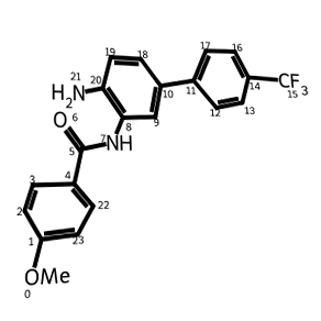 COc1ccc(C(=O)Nc2cc(-c3ccc(C(F)(F)F)cc3)ccc2N)cc1